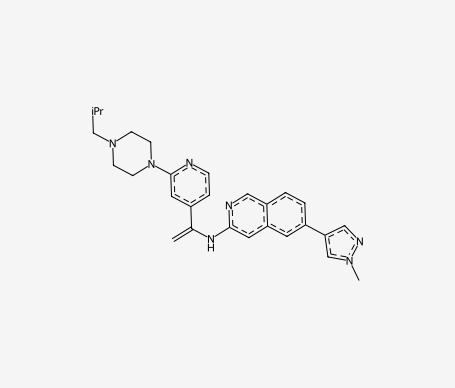 C=C(Nc1cc2cc(-c3cnn(C)c3)ccc2cn1)c1ccnc(N2CCN(CC(C)C)CC2)c1